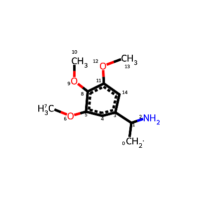 [CH2]C(N)c1cc(OC)c(OC)c(OC)c1